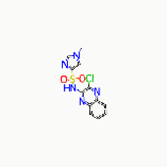 Cn1cnc(S(=O)(=O)Nc2nc3ccccc3nc2Cl)c1